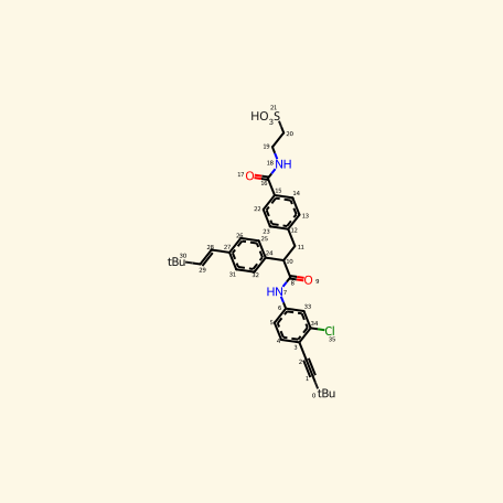 CC(C)(C)C#Cc1ccc(NC(=O)C(Cc2ccc(C(=O)NCCS(=O)(=O)O)cc2)c2ccc(/C=C/C(C)(C)C)cc2)cc1Cl